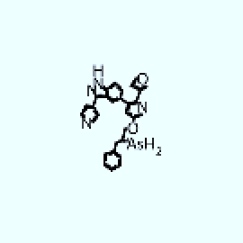 [AsH2][C@H](COc1cnc(-c2ccoc2)c(-c2ccc3[nH]nc(-c4ccncc4)c3c2)c1)Cc1ccccc1